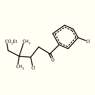 CCOC(=O)CC(C)(C)C(Cl)CC(=O)c1cccc(Cl)c1